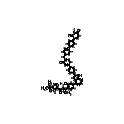 Cc1cc(-c2ncnc3[nH]c(-c4ccc(N5CCN(CC6CCN(c7ccc(N8CCC(=O)NC8=O)cc7)CC6)C(=O)C5)cc4)cc23)ccc1C(C)NC(=O)c1nc(C(C)(C)C)no1